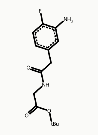 CC(C)(C)OC(=O)CNC(=O)Cc1ccc(F)c(N)c1